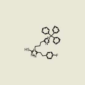 Fc1ccc(CCc2nnc(S)n2CCCc2cn(C(c3ccccc3)(c3ccccc3)c3ccccc3)cn2)cc1